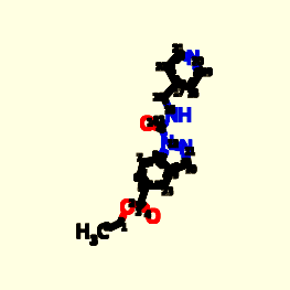 CCOC(=O)c1ccc2c(cnn2C(=O)NCc2ccncc2)c1